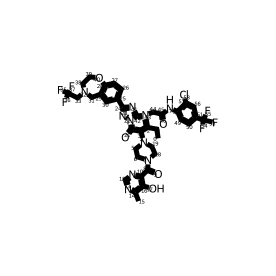 CCc1c(N2CCN(C(=O)c3ncnc(C)c3O)CC2)c(=O)n2nc(-c3ccc4c(c3)CN(CC(F)(F)F)CCO4)nc2n1CC(=O)Nc1ccc(C(F)(F)F)cc1Cl